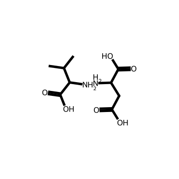 CC(C)C(N)C(=O)O.NC(CC(=O)O)C(=O)O